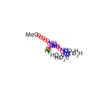 COCCOCCOCCOCCOCCOCCC(=O)NCCCCC(NC(=O)CCCCC(=O)Oc1c(F)c(F)cc(F)c1F)C(=O)NCCOCCOCCNC(=O)CCC(C(=O)O)N1CCN(CC(=O)O)CCN(CC(=O)O)CCN(CC(=O)O)CC1